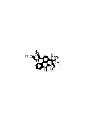 C=C/C=N\C(=C/C)c1ccc2c3c1-c1ccccc1NC3=N[C@](C)(CC)C2(C)CC